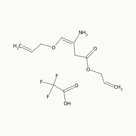 C=CCO/C=C(/N)CC(=O)OCC=C.O=C(O)C(F)(F)F